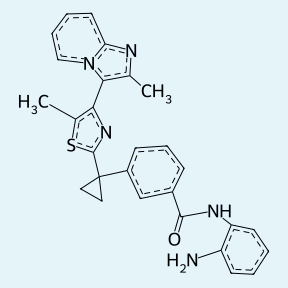 Cc1nc2ccccn2c1-c1nc(C2(c3cccc(C(=O)Nc4ccccc4N)c3)CC2)sc1C